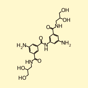 Nc1cc(NC(=O)c2cc(N)cc(C(=O)NCC(O)CO)c2)cc(C(=O)NCC(O)CO)c1